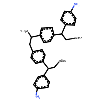 CCCCCCCCCCCC(c1ccc(N)cc1)c1ccc(CC(CCCCCCC)c2ccc(C(CCCCCCCCCCC)c3ccc(N)cc3)cc2)cc1